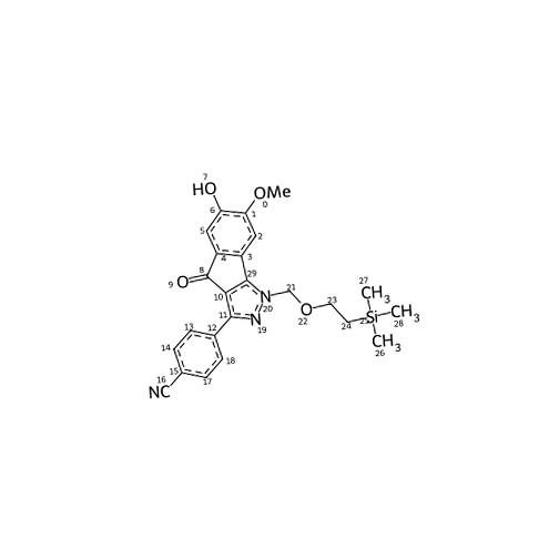 COc1cc2c(cc1O)C(=O)c1c(-c3ccc(C#N)cc3)nn(COCC[Si](C)(C)C)c1-2